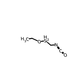 CCO[SiH2]CN=C=O